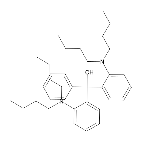 CCCCN(CCCC)c1ccccc1C(O)(c1ccccc1)c1ccccc1N(CCCC)CCCC